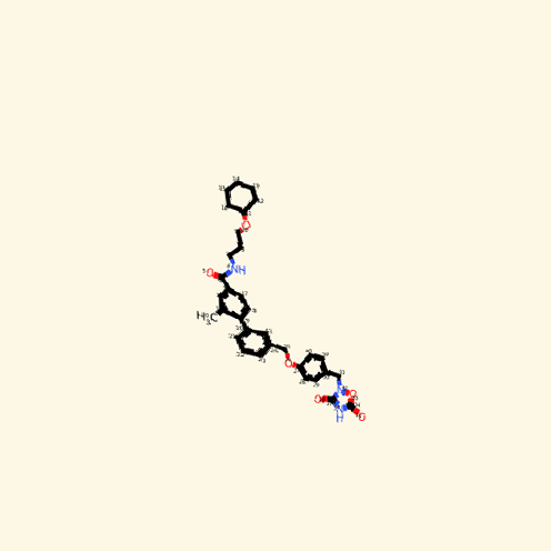 Cc1cc(C(=O)NCCCOC2CCCCC2)ccc1-c1cccc(COc2ccc(Cn3oc(=O)[nH]c3=O)cc2)c1